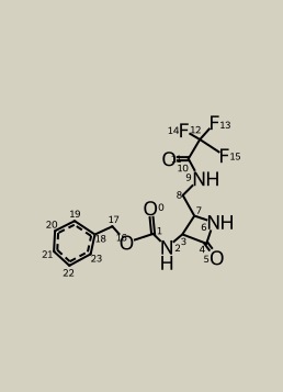 O=C(NC1C(=O)NC1CNC(=O)C(F)(F)F)OCc1ccccc1